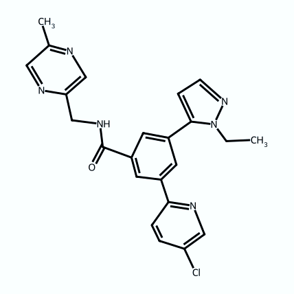 CCn1nccc1-c1cc(C(=O)NCc2cnc(C)cn2)cc(-c2ccc(Cl)cn2)c1